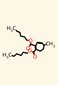 CCCCCCOC(=O)C1=C(C(=O)OCCCCCC)CCC(C)C=C1